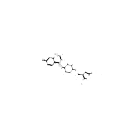 Cc1cc(C(=O)NC2CCC(Nc3ccnc4cc(Cl)ccc34)CC2)c(C)o1